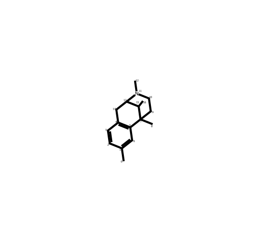 Cc1ccc2c(c1)C1(C)CCN(C)C(C2)C1C